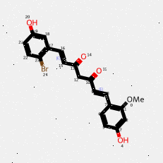 COc1cc(O)ccc1/C=C/C(=O)CC(=O)/C=C/c1cc(O)ccc1Br